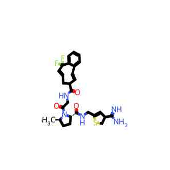 C[C@@H]1CC[C@@H](C(=O)NCC2=CC(C(=N)N)CS2)N1C(=O)CNC(=O)C1/C=C/c2ccccc2C(F)(F)/C=C/C1